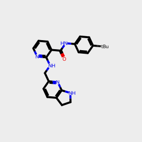 CC(C)(C)c1ccc(NC(=O)c2cccnc2NCc2ccc3c(n2)NCC3)cc1